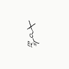 CC[C@@H](C)OCC(C)(C)C